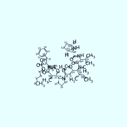 CCCCOP(=O)(O)[C@H](Cc1ccccc1)NC(=O)[C@H](C)[C@@H](OC)[C@@H]1CCCN1C(=O)C[C@@H](OC)[C@H]([C@@H](C)CC)N(C)C(=O)[C@@H](NC(=O)[C@H]1N[C@@H]2CC[C@H]1C2)C(C)C